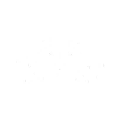 CC(C)N1c2cc(NS(=O)(=O)C(F)(F)F)c(C3=C([O-])C(C4C=C5C(=[N+](C(C)C)C(C)C5(C)C)C=C4NS(=O)(=O)C(F)(F)F)C3=O)cc2C(C)(C)C1C